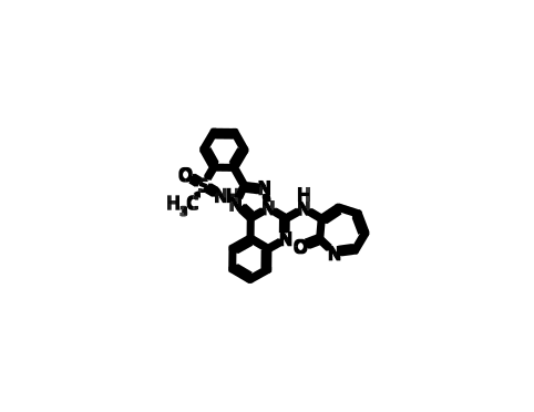 C[S@@](=N)(=O)c1ccccc1-c1nc2c3ccccc3nc(Nc3ccccnc3=O)n2n1